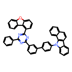 c1ccc(-c2nc(-c3cccc(-c4ccc(-n5c6ccccc6c6ccc7ccccc7c65)cc4)c3)nc(-c3cccc4oc5ccccc5c34)n2)cc1